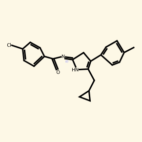 Cc1ccc(C2=C(CC3CC3)N/C(=N\C(=O)c3ccc(Cl)cc3)C2)cc1